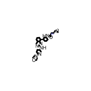 CN(C)C/C=C/C(=O)Nc1cccc(-c2cccc3cnc(Nc4ccc(N5CCOCC5)nc4)nc23)c1